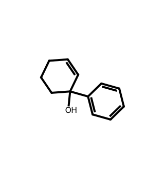 OC1(c2ccccc2)C=CCCC1